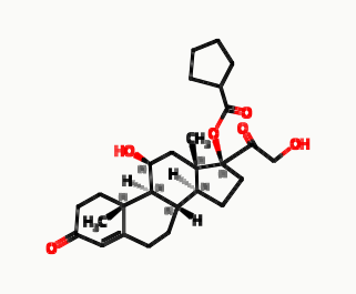 C[C@]12CCC(=O)C=C1CC[C@@H]1[C@@H]2[C@@H](O)C[C@@]2(C)[C@H]1CC[C@@]2(OC(=O)C1CCCC1)C(=O)CO